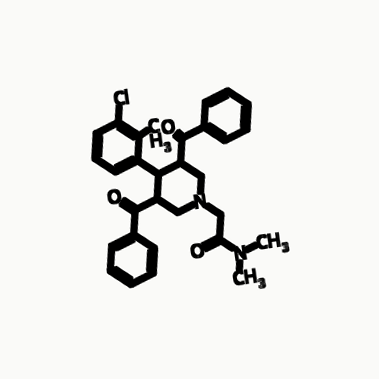 Cc1c(Cl)cccc1C1C(C(=O)c2ccccc2)CN(CC(=O)N(C)C)CC1C(=O)c1ccccc1